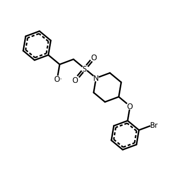 [O]C(CS(=O)(=O)N1CCC(Oc2ccccc2Br)CC1)c1ccccc1